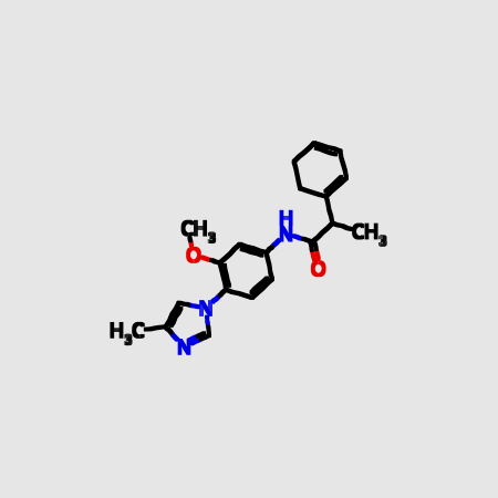 COc1cc(NC(=O)C(C)C2=CC=CCC2)ccc1-n1cnc(C)c1